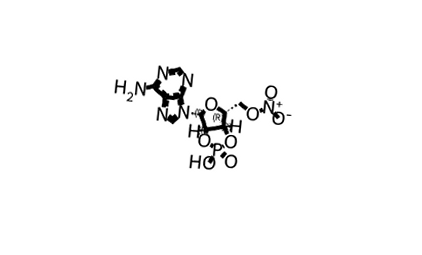 Nc1ncnc2c1ncn2[C@@H]1O[C@H](CO[N+](=O)[O-])[C@H]2OP(=O)(O)O[C@H]21